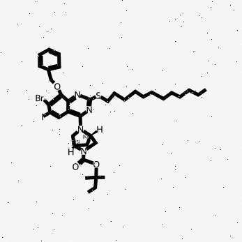 CCCCCCCCCCCCSc1nc(N2C[C@@H]3C[C@H]2CN3C(=O)OC(C)(C)CC)c2cc(I)c(Br)c(OCc3ccccc3)c2n1